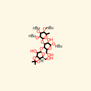 CCCCOC1[C@H](OCCCC)C(C)O[C@@H](OC2[C@H](O[C@@H]3O[C@@H](CO)[C@@H]4OC(C)(C)OC4C3O)C(CO)O[C@@H](OCCCC)[C@H]2O)[C@H]1OCCCC